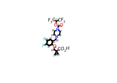 O=C(OC(C(F)(F)F)C(F)(F)F)N1CCN(Cc2cc(F)c(F)cc2OCC2(C(=O)O)CC2)CC1